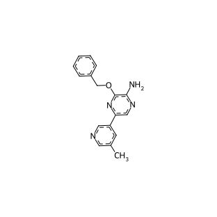 Cc1cncc(-c2cnc(N)c(OCc3ccccc3)n2)c1